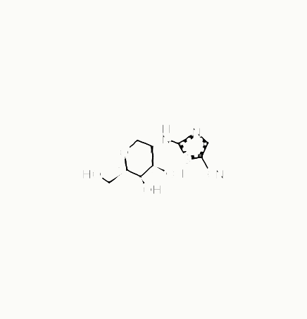 N#Cc1cnc(N[C@H]2CO[C@H](CO)[C@H](O)[C@@H]2O)s1